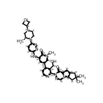 C[C@H]1CN(C2COC2)CCN1c1ccc(Nc2cc(-c3ccnc(-n4ncn5c6c(cc5c4=O)CC(C)(C)C6)c3CO)cn(C)c2=O)nn1